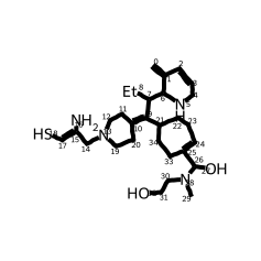 C=C1C=CCNC1C(CC)C(=C1CCN(C/C(N)=C/S)CC1)C1CCC=C(C(O)N(C)CCO)CC1